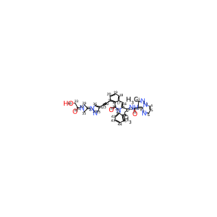 Cc1nn2cccnc2c1C(=O)NC(C)c1cc2cccc(C#Cc3cnn(C4CN(C(=O)CO)C4)c3)c2c(=O)n1-c1ccccc1